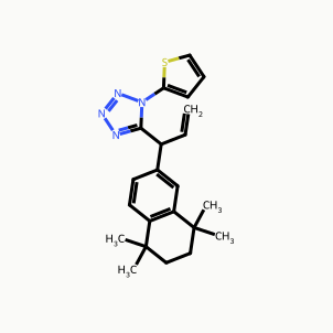 C=CC(c1ccc2c(c1)C(C)(C)CCC2(C)C)c1nnnn1-c1cccs1